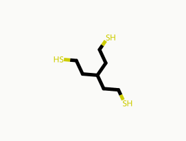 SCCC(CCS)CCS